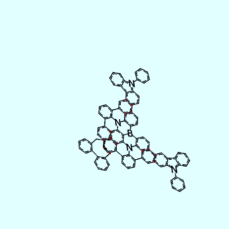 C1=C/C(c2cc3c4c(c2)N(c2c(-c5ccccc5)cccc2-c2ccccc2)c2cc(-c5ccc6c(c5)c5ccccc5n6-c5ccccc5)ccc2B4c2ccc(-c4ccc5c(c4)c4ccccc4n5-c4ccccc4)cc2N3c2c(-c3ccccc3)cccc2-c2ccccc2)Cc2ccccc2-c2ccccc2/1